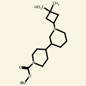 CC(C)(C)OC(=O)N1CCC(C2CCCN(C3CC(C)(C(=O)O)C3)C2)CC1